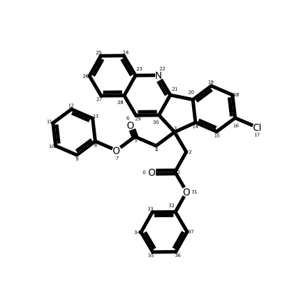 O=C(CC1(CC(=O)Oc2ccccc2)c2cc(Cl)ccc2-c2nc3ccccc3cc21)Oc1ccccc1